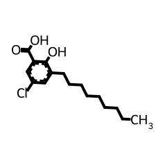 CCCCCCCCCc1cc(Cl)cc(C(=O)O)c1O